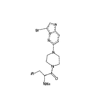 CNC(CC(C)C)C(=O)N1CCN(c2ccc3ncc(Br)n3n2)CC1